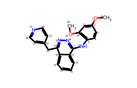 COc1ccc(Nc2nnc(Cc3ccncc3)c3ccccc23)c(OC)c1